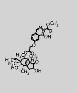 C=C[C@]1(C)C[C@@H](OC(=O)COc2ccc3c(c2)B(O)N(C(=O)OC)N=C3)[C@]2(C)[C@H](C)CC[C@]3(C[C@H](O)C(=O)[C@H]32)[C@@H](C)[C@@H]1O